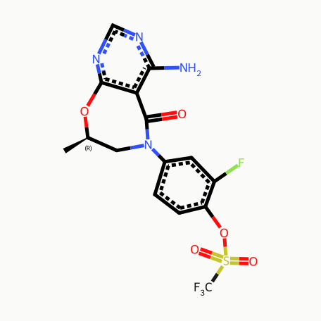 C[C@@H]1CN(c2ccc(OS(=O)(=O)C(F)(F)F)c(F)c2)C(=O)c2c(N)ncnc2O1